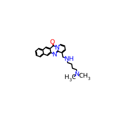 CN(C)CCCCNCc1cccn2c(=O)c3cc4ccccc4cc3nc12